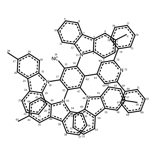 Cc1ccc2c(c1)c1ccccc1n2-c1c(C#N)c(-n2c3ccccc3c3cc(C)ccc32)c(-n2c3ccccc3c3cc(C)ccc32)c(-n2c3ccccc3c3cc(C)ccc32)c1-c1cc(-c2ccccc2)nc(-c2ccccc2)c1